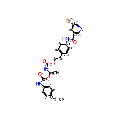 CCCCCCc1ccc(NC(=O)OC(C)NC(=O)OCCc2ccc(NC(=O)c3cncc(Br)c3)cc2)cc1